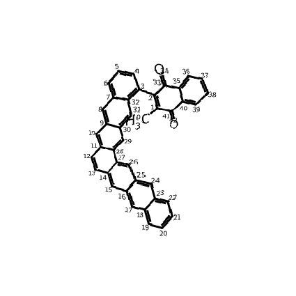 CC1=C(c2cccc3cc4cc5ccc6cc7cc8ccccc8cc7cc6c5cc4cc23)C(=O)c2ccccc2C1=O